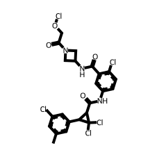 Cc1cc(Cl)cc(C2C(C(=O)Nc3ccc(Cl)c(C(=O)NC4CN(C(=O)COCl)C4)c3)C2(Cl)Cl)c1